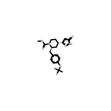 COC(=O)N1CC[C@H](c2cc(=O)[nH]o2)C[C@H]1Cc1ccc(OC(F)(F)F)cc1